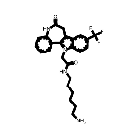 NCCCCCCNC(=O)Cn1c2c(c3cc(C(F)(F)F)ccc31)CC(=O)Nc1ccccc1-2